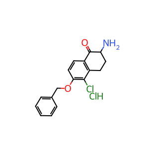 Cl.NC1CCc2c(ccc(OCc3ccccc3)c2Cl)C1=O